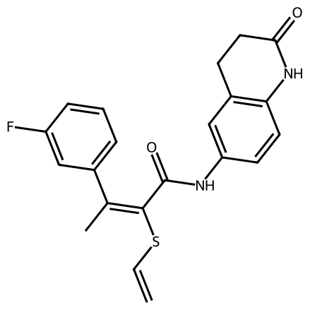 C=CS/C(C(=O)Nc1ccc2c(c1)CCC(=O)N2)=C(\C)c1cccc(F)c1